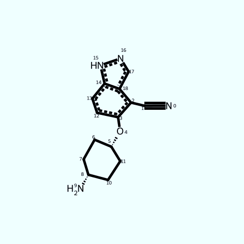 N#Cc1c(O[C@H]2CC[C@@H](N)CC2)ccc2[nH]ncc12